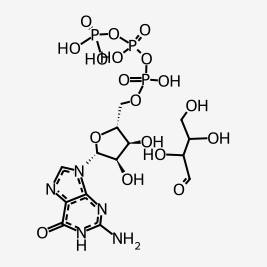 Nc1nc2c(ncn2[C@@H]2O[C@H](COP(=O)(O)OP(=O)(O)OP(=O)(O)O)[C@@H](O)[C@H]2O)c(=O)[nH]1.O=CC(O)C(O)CO